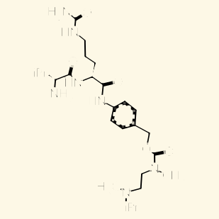 CC(C)[C@H](N)C(=O)N[C@@H](CCCNC(N)=O)C(=O)Nc1ccc(COC(=O)N(C)CCN(C)C(C)C)cc1